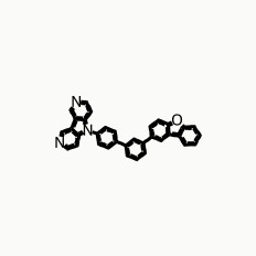 c1cc(-c2ccc(-n3c4ccncc4c4cnccc43)cc2)cc(-c2ccc3oc4ccccc4c3c2)c1